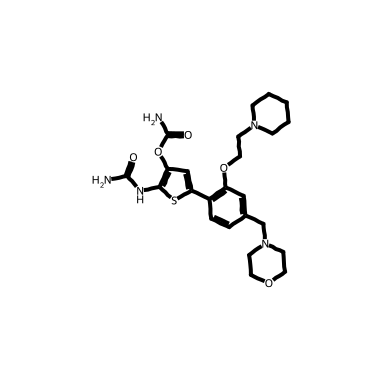 NC(=O)Nc1sc(-c2ccc(CN3CCOCC3)cc2OCCN2CCCCC2)cc1OC(N)=O